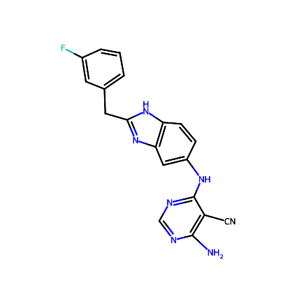 N#Cc1c(N)ncnc1Nc1ccc2[nH]c(Cc3cccc(F)c3)nc2c1